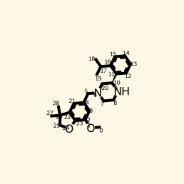 COc1cc(CN2CCN[C@H](c3ccccc3C(C)C)C2)cc2c1OCC2(C)C